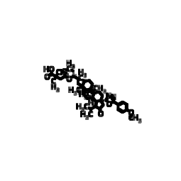 CC[C@H](CC[C@@]1(C)[C@H](C)CC[C@]2(C)[C@@H]1CC[C@@H]1C3=C(C(C)C)C(=O)C[C@]3(c3nnc(-c4ccc(OC)cc4)o3)CC[C@]12C)OC(=O)CC(C)(C)C(=O)O